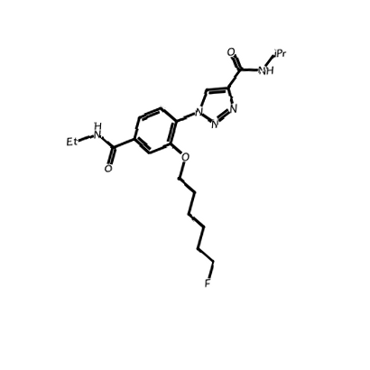 CCNC(=O)c1ccc(-n2cc(C(=O)NC(C)C)nn2)c(OCCCCCCF)c1